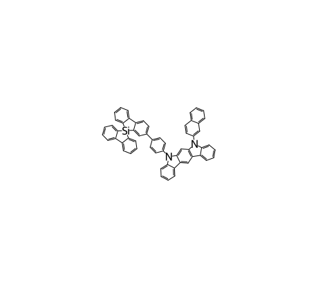 c1ccc2c(c1)-c1ccccc1[Si]21c2ccccc2-c2ccc(-c3ccc(-n4c5ccccc5c5cc6c7ccccc7n(-c7ccc8ccccc8c7)c6cc54)cc3)cc21